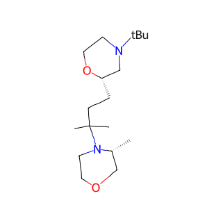 C[C@@H]1COCCN1C(C)(C)CC[C@H]1CN(C(C)(C)C)CCO1